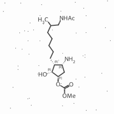 COC(=O)O[C@@H]1C[C@@H](N)[C@@H](CCCCCC(C)CNC(C)=O)[C@H]1O